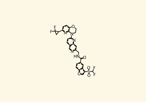 O=C(NCc1cc2nc(N3CCOc4ccc(C5CC5(F)F)nc43)ccc2cn1)c1ccc2occ(S(=O)(=O)C(F)F)c2c1